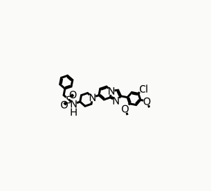 COc1cc(OC)c(-c2cn3ccc(N4CCC(NS(=O)(=O)Cc5ccccc5)CC4)cc3n2)cc1Cl